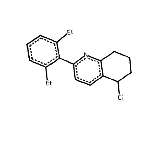 CCc1cccc(CC)c1-c1ccc2c(n1)CCCC2Cl